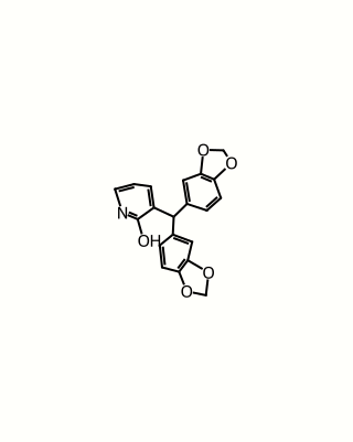 Oc1ncccc1C(c1ccc2c(c1)OCO2)c1ccc2c(c1)OCO2